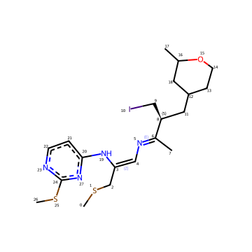 CSC/C(=C/N=C(\C)[C@@H](CI)CC1CCOC(C)C1)Nc1ccnc(SC)n1